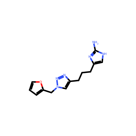 Nc1nc(CCCc2cn(Cc3ccco3)nn2)c[nH]1